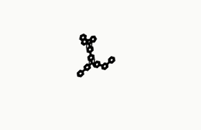 c1ccc(-c2ccc(N(c3ccc(-c4ccc(-n5c6ccccc6c6c7ccccc7ccc65)cc4)cc3)c3ccc(-c4cccc(-c5ccccc5)c4)cc3)cc2)cc1